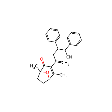 C=C(CC(c1ccccc1)C(C#N)c1ccccc1)C1=C(C)C2CCC(C)(O2)C1=O